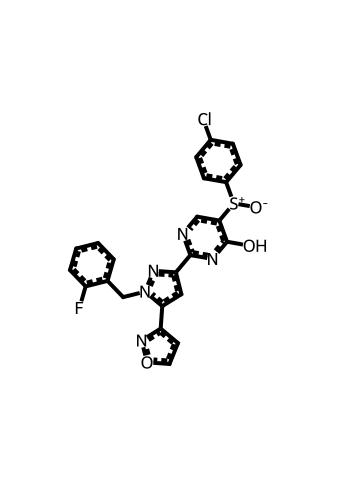 [O-][S+](c1ccc(Cl)cc1)c1cnc(-c2cc(-c3ccon3)n(Cc3ccccc3F)n2)nc1O